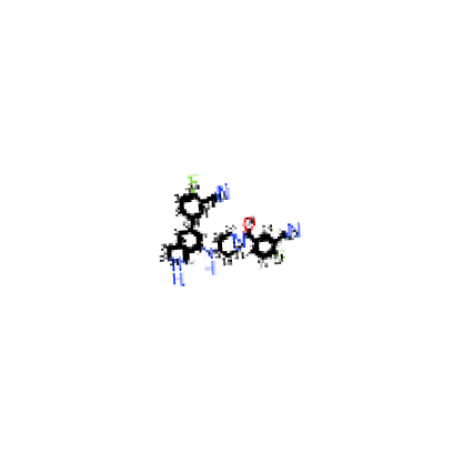 N#CC1=CC(c2cc(NC3CCN(C(=O)c4ccc(F)c(C#N)c4)CC3)c3c(c2)=CCNC=3)CC=C1F